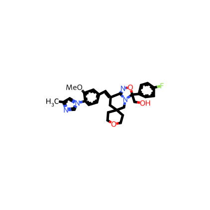 COc1cc(/C=C2\CC3(CCOCC3)CN3C2=NOC3(CO)c2ccc(F)cc2)ccc1-n1cnc(C)c1